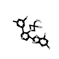 Cc1cc(F)cc(-c2cncc(-c3nc4c(F)cc(F)cc4[nH]3)c2N2CC(O)(CN)C2)c1